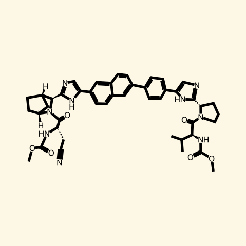 COC(=O)N[C@@H](CC#N)C(=O)N1[C@@H]2CC[C@@H](C2)[C@H]1c1ncc(-c2ccc3cc(-c4ccc(-c5cnc([C@@H]6CCCN6C(=O)[C@@H](NC(=O)OC)C(C)C)[nH]5)cc4)ccc3c2)[nH]1